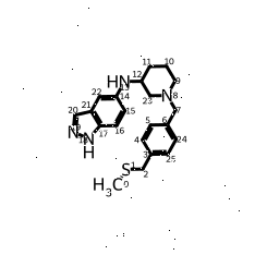 CSCc1ccc(CN2CCCC(Nc3ccc4[nH]ncc4c3)C2)cc1